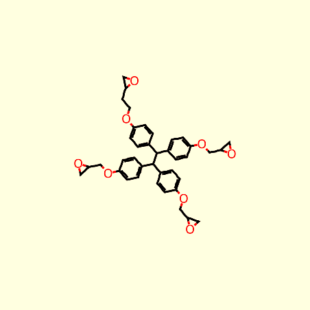 c1cc(C(c2ccc(OCC3CO3)cc2)C(c2ccc(OCC3CO3)cc2)c2ccc(OCC3CO3)cc2)ccc1OCCC1CO1